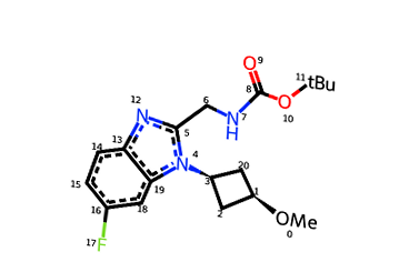 CO[C@H]1C[C@@H](n2c(CNC(=O)OC(C)(C)C)nc3ccc(F)cc32)C1